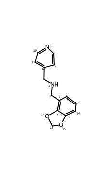 c1cc(CNCc2ccncc2)c2c(c1)OCO2